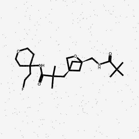 CC(C)(C)C(=O)NC[C@]12C[C@](CC(C)(C)C(=O)NC3(CCF)CCOCC3)(CO1)C2